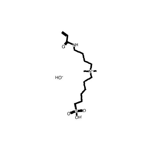 C=CC(=O)NCCCC[N+](C)(C)CCCCCCS(=O)(=O)O.[OH-]